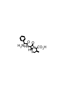 C=C1CS[C@@H]2C(NC(=O)C(N)c3ccccc3)C(=O)N2C1C(=O)O